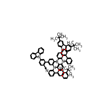 CC(C)(C)c1ccc2c(c1)c1cc(C(C)(C)C)ccc1n2-c1ccc2c(c1)N(c1ccccc1-c1ccccc1)c1cc(-c3ccccc3C(C)(C)C)cc3c1B2c1ccc(-c2cc(-n4c5ccccc5c5ccccc54)ccc2C#N)cc1N3c1ccccc1-c1ccccc1